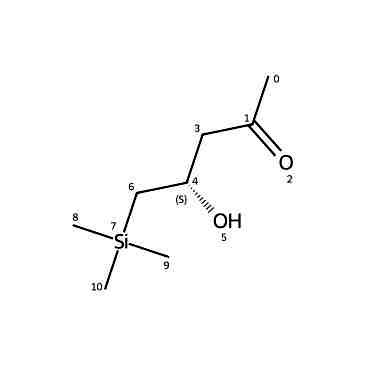 CC(=O)C[C@H](O)C[Si](C)(C)C